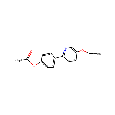 CCCCCCCC(=O)Oc1ccc(-c2ccc(OCC(C)CC)cn2)cc1